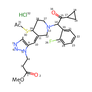 COC(=O)CCn1nncc1/C=C1/CN(C(C(=O)C2CC2)c2ccccc2F)CCC1SC(C)=O.Cl